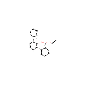 C=COC(C)Oc1c(-c2ccccc2)cccc1-c1ccccc1